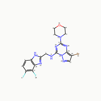 Fc1ccc2[nH]c(CNc3nc(N4CCOCC4)nc4c(Br)cnn34)nc2c1F